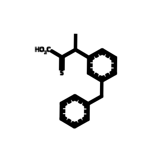 CC(C(=S)C(=O)O)c1cccc(Cc2ccccc2)c1